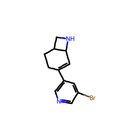 Brc1cncc(C2=CC3NCC3CC2)c1